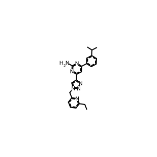 CCc1cccc(Cn2cc(-c3cc(-c4cccc(C(C)C)c4)nc(N)n3)nn2)n1